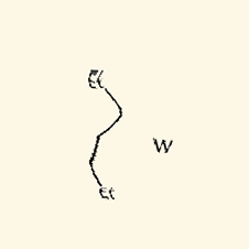 CCCCCC.[W]